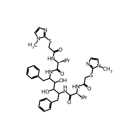 CC(C)[C@H](NC(=O)CSc1nccn1C)C(=O)NC(Cc1ccccc1)C(O)C(O)C(Cc1ccccc1)NC(=O)[C@@H](NC(=O)CSc1nccn1C)C(C)C